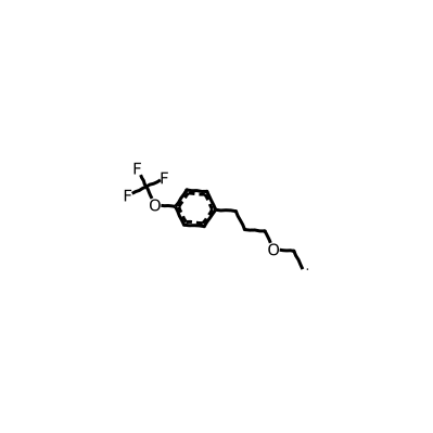 [CH2]COCCCc1ccc(OC(F)(F)F)cc1